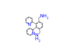 NCc1ccc(CN)c(-c2ccccn2)c1-c1ccccn1